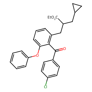 CCOC(=O)C(Cc1cccc(Oc2ccccc2)c1C(=O)c1ccc(Cl)cc1)CC1CC1